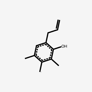 [CH2]c1c(C)cc(CC=C)c(O)c1C